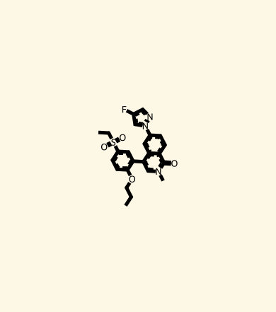 CCCOc1ccc(S(=O)(=O)CC)cc1-c1cn(C)c(=O)c2ccc(-n3cc(F)cn3)cc12